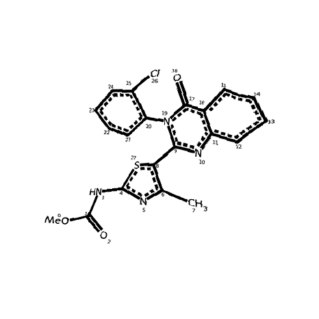 COC(=O)Nc1nc(C)c(-c2nc3ccccc3c(=O)n2-c2ccccc2Cl)s1